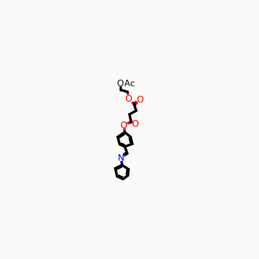 CC(=O)OCCOC(=O)CCC(=O)Oc1ccc(C=Nc2ccccc2)cc1